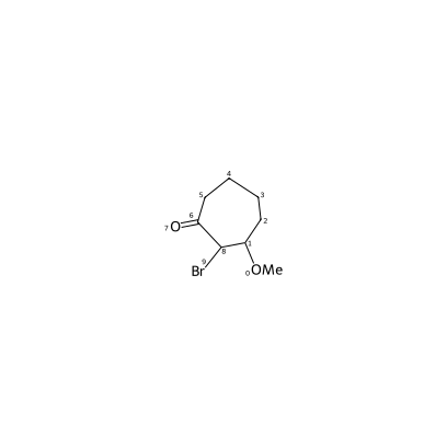 COC1CCCCC(=O)C1Br